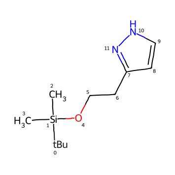 CC(C)(C)[Si](C)(C)OCCc1cc[nH]n1